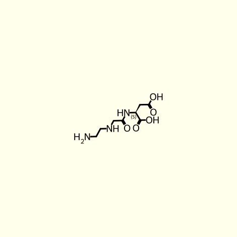 NCCNCC(=O)N[C@@H](CC(=O)O)C(=O)O